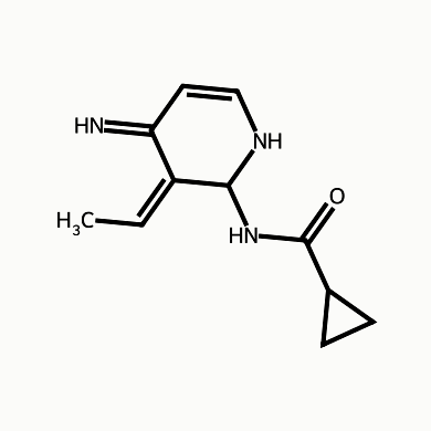 C/C=C1\C(=N)C=CNC1NC(=O)C1CC1